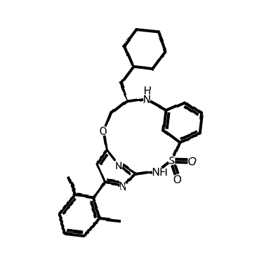 Cc1cccc(C)c1-c1cc2nc(n1)NS(=O)(=O)c1cccc(c1)N[C@H](CC1CCCCC1)CO2